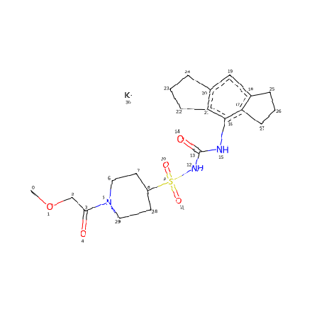 COCC(=O)N1CCC(S(=O)(=O)NC(=O)Nc2c3c(cc4c2CCC4)CCC3)CC1.[K]